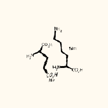 NC(CCC(=O)O)C(=O)O.NCCCCC(N)C(=O)O.[Mn].[Mn]